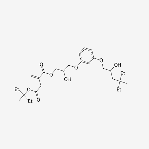 C=C(CC(=O)OC(C)(CC)CC)C(=O)OCC(O)COc1cccc(OCC(O)CC(C)(CC)CC)c1